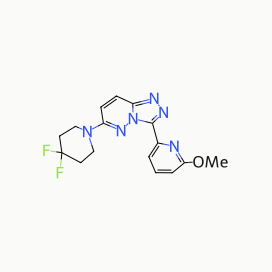 COc1cccc(-c2nnc3ccc(N4CCC(F)(F)CC4)nn23)n1